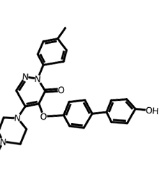 Cc1ccc(-n2ncc(N3CCN(C)CC3)c(Oc3ccc(-c4ccc(O)cc4)cc3)c2=O)cc1